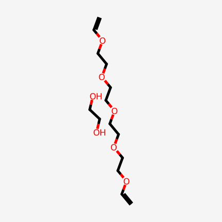 C=COCCOCCOCCOCCOC=C.OCCO